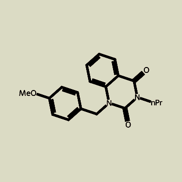 CCCn1c(=O)c2ccccc2n(Cc2ccc(OC)cc2)c1=O